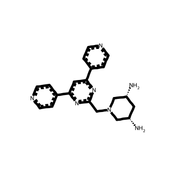 N[C@@H]1C[C@H](N)CN(Cc2nc(-c3ccncc3)cc(-c3ccncc3)n2)C1